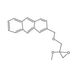 COC1(COCc2ccc3cc4ccccc4cc3c2)CO1